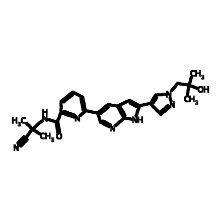 CC(C)(O)Cn1cc(-c2cc3cc(-c4cccc(C(=O)NC(C)(C)C#N)n4)cnc3[nH]2)cn1